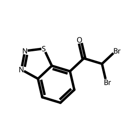 O=C(c1cccc2nnsc12)C(Br)Br